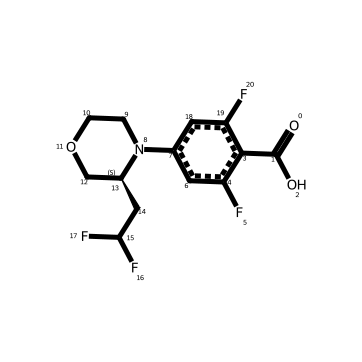 O=C(O)c1c(F)cc(N2CCOC[C@@H]2CC(F)F)cc1F